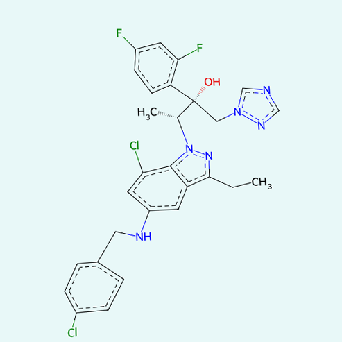 CCc1nn([C@H](C)[C@](O)(Cn2cncn2)c2ccc(F)cc2F)c2c(Cl)cc(NCc3ccc(Cl)cc3)cc12